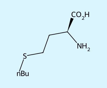 CCCCSCC[C@H](N)C(=O)O